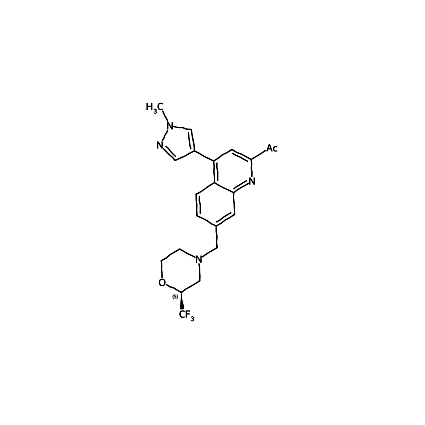 CC(=O)c1cc(-c2cnn(C)c2)c2ccc(CN3CCO[C@H](C(F)(F)F)C3)cc2n1